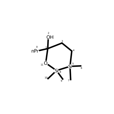 CCCC1(O)CC[Si](C)(C)[Si](C)(C)O1